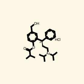 CC(C)C(=O)Oc1ccc(CO)cc1[C@H](CC[As](C(C)C)C(C)C)c1ccccc1.Cl